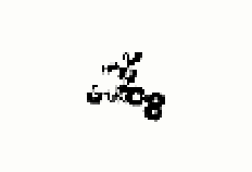 C=CC(=O)N1CCN(c2nc(OC[C@@H]3CCCN3C)nc3c2CCN(c2cccc4c2CCCC4)CC3)C[C@@H]1CC#N